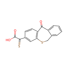 O=C(O)C(=S)c1ccc2c(c1)SCc1ccccc1C2=O